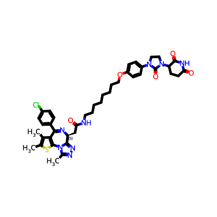 Cc1sc2c(c1C)C(c1ccc(Cl)cc1)=N[C@@H](CC(=O)NCCCCCCCCOc1ccc(N3CCN(C4CCC(=O)NC4=O)C3=O)cc1)c1nnc(C)n1-2